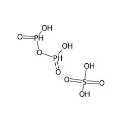 O=S(=O)(O)O.O=[PH](O)O[PH](=O)O